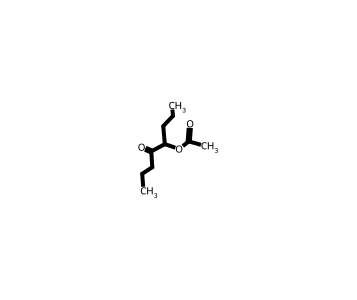 CCCC(=O)C(CCC)OC(C)=O